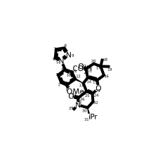 COc1ccc(-n2cccn2)c(C(=O)O)c1[C@H]1C2=C(CC(C)(C)CC2=O)OC2=C1C(=O)N(C)[C@H](C(C)C)C2